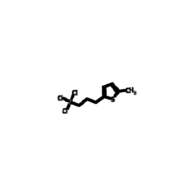 Cc1ccc(CCC[Si](Cl)(Cl)Cl)s1